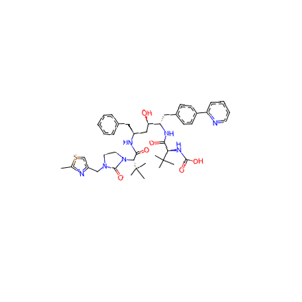 Cc1nc(CN2CCN([C@H](C(=O)N[C@@H](Cc3ccccc3)C[C@@H](O)[C@H](Cc3ccc(-c4ccccn4)cc3)NC(=O)[C@@H](NC(=O)O)C(C)(C)C)C(C)(C)C)C2=O)cs1